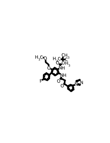 COCCOc1cc(NC(=O)OC(C)(C)C)c(NC(=O)CC(=O)c2cccc(-n3ccnc3)c2)cc1-c1ccc(F)cc1